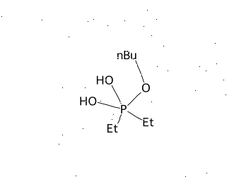 CCCCOP(O)(O)(CC)CC